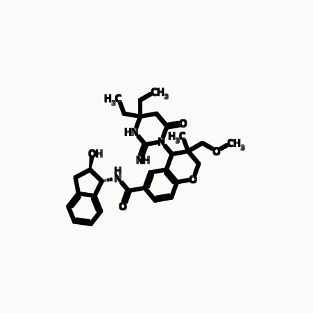 CCC1(CC)CC(=O)N(C2c3cc(C(=O)N[C@@H]4c5ccccc5C[C@H]4O)ccc3OCC2(C)COC)C(=N)N1